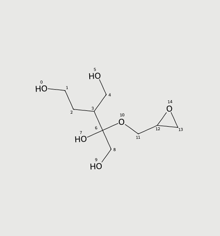 OCCC(CO)C(O)(CO)OCC1CO1